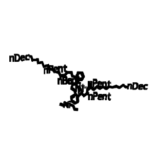 C=C[CH2][Ni][CH2]C=C.CCCCCCCCCCCCCCCCCCCCCC(=CC(CCCCC)CCc1ccccc1C1=CC(CCCC)=C(c2ccccc2CCC(C=C(CCCCC)CCCCCCCCCCCCCCCCCCCCC)CCCCC)[N+]1=[N-])CCCCC